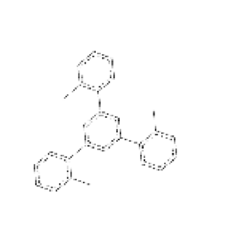 Cc1ccccc1-c1cc(-c2ccccc2C)cc(-c2ccccc2C)c1